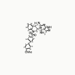 COc1ccc(-c2ccc(S(=O)(=O)N3CC(N4C(N)=Nc5[nH]ncc5C4N)Cc4ccccc43)cc2)cc1